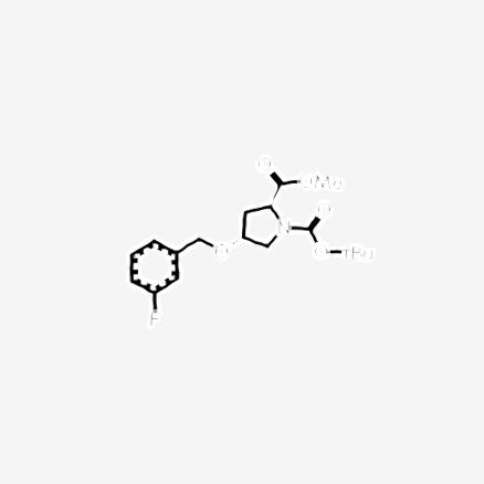 COC(=O)[C@@H]1C[C@@H](OCc2cccc(F)c2)CN1C(=O)OC(C)(C)C